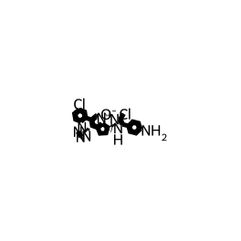 Nc1ccc(-c2[nH]c([C@@H]3CCc4cc(-c5cc(Cl)ccc5-n5cnnn5)c[n+]([O-])c43)nc2Cl)cc1